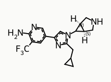 Nc1ncc(-c2cn(C3[C@H]4CNC[C@@H]34)c(CC3CC3)n2)cc1C(F)(F)F